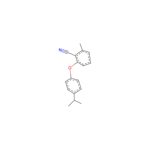 Cc1cccc(Oc2ccc(C(C)C)cc2)c1C#N